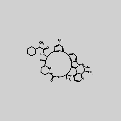 CCn1c(-c2cccnc2[C@H](C)OC)c2c3cc(ccc31)-c1cc(O)cc(c1)C[C@H](NC(=O)C(C)C1CCCCC1)C(=O)N1CCC[C@H](N1)C(=O)OCC(C)(C)C2